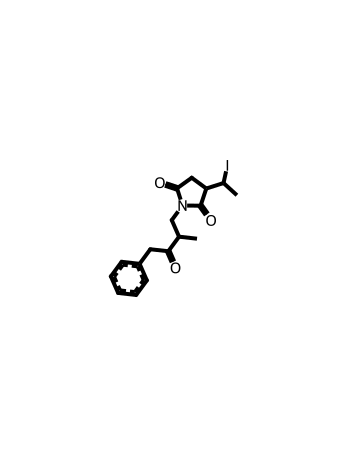 CC(CN1C(=O)CC(C(C)I)C1=O)C(=O)Cc1ccccc1